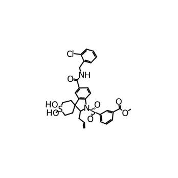 C=CCC1N(S(=O)(=O)c2cccc(C(=O)OC)c2)c2ccc(C(=O)NCc3ccccc3Cl)cc2C12CCS(O)(O)CC2